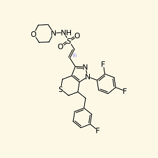 O=S(=O)(/C=C/c1nn(-c2ccc(F)cc2F)c2c1CSCC2Cc1cccc(F)c1)NN1CCOCC1